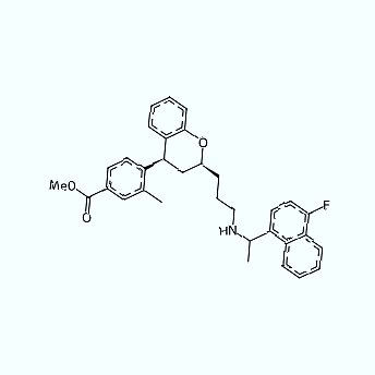 COC(=O)c1ccc([C@@H]2C[C@H](CCCNC(C)c3ccc(F)c4ccccc34)Oc3ccccc32)c(C)c1